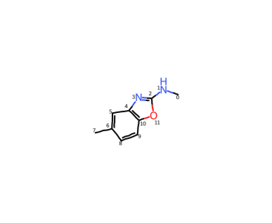 CNc1nc2cc(C)ccc2o1